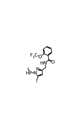 O=C(NCc1cc(I)n(PI)n1)c1ccccc1OC(F)(F)F